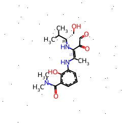 C/C(Nc1cccc(C(=O)N(C)C)c1O)=C(/N[C@@H](CO)C(C)C)C(=O)C=O